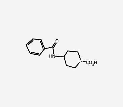 O=C(NC1CCN(C(=O)O)CC1)c1ccccc1